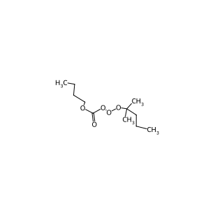 CCCCOC(=O)OOOC(C)(C)CCC